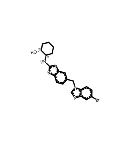 O[C@@H]1CCCC[C@H]1Nc1nc2ccc(Cn3cnc4cc(Br)ccc43)cc2s1